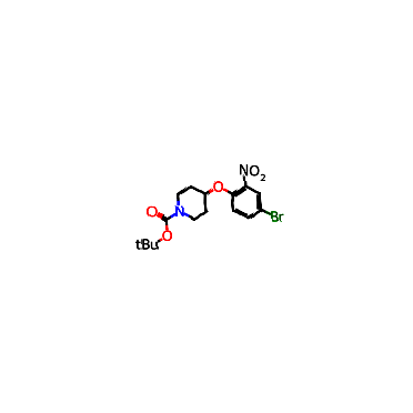 CC(C)(C)OC(=O)N1CCC(Oc2ccc(Br)cc2[N+](=O)[O-])CC1